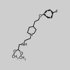 COC(CNCCN1CCC(CCOc2ccc(F)cc2)CC1)OC